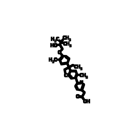 CCC(CC)(c1ccc(OCC(O)C(C)(C)C)c(C)c1)c1ccc(-c2ccc(CC(=O)O)cn2)c(C)c1